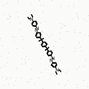 CCN(CC)c1ccc(/N=N/c2ccc(C(C)(C)c3ccc(C(C)(C)c4ccc(/N=N/c5ccc(N(CC)CC)cc5)cc4)cc3)cc2)cc1